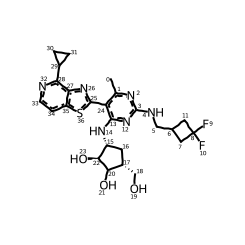 Cc1nc(NCC2CC(F)(F)C2)nc(N[C@@H]2C[C@H](CO)C(O)[C@H]2O)c1-c1nc2c(C3CC3)nccc2s1